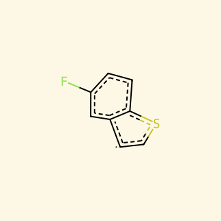 Fc1ccc2sc[c]c2c1